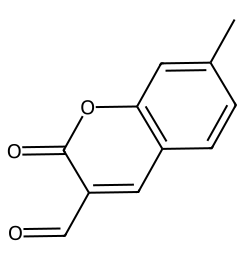 Cc1ccc2cc(C=O)c(=O)oc2c1